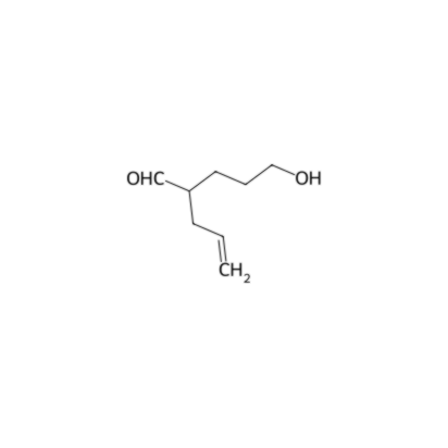 C=CCC(C=O)CCCO